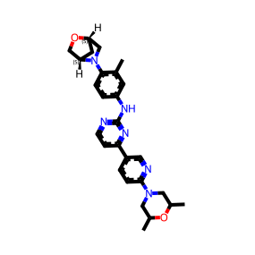 Cc1cc(Nc2nccc(-c3ccc(N4CC(C)OC(C)C4)nc3)n2)ccc1N1C[C@@H]2C[C@H]1CO2